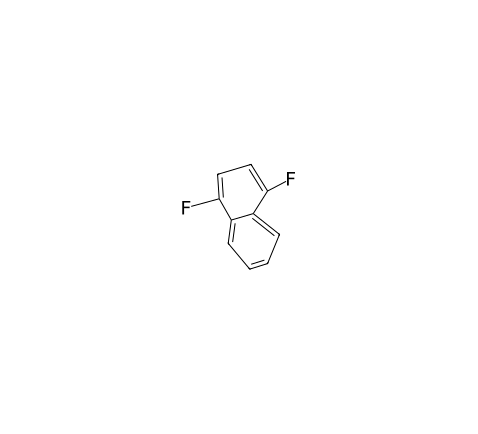 Fc1ccc(F)c2ccccc12